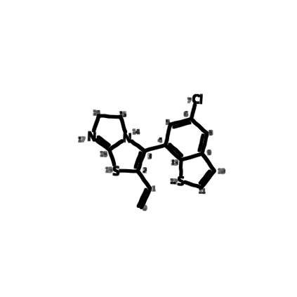 C=CC1=C(c2cc(Cl)cc3ccsc23)N2CCN=C2S1